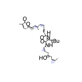 C/C=C\C[C@H](O)C/C=C\NC(=O)[C@@H](NC(=O)C#C/C=C\C(C)=C\[C@H](C)[C@@H]1CC=C(C)C(=O)O1)C(C)(C)C